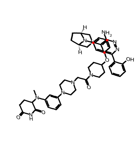 CN(c1cccc(N2CCN(CC(=O)N3CCC(Oc4cccc(N5[C@@H]6CC[C@H]5CN(c5cc(-c7ccccc7O)nnc5N)C6)c4)CC3)CC2)c1)C1CCC(=O)NC1=O